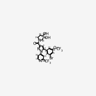 O=C(c1cc(-c2cc(Br)cc(OC(F)(F)F)c2)n(-c2ccnc(C(F)(F)F)c2)n1)N1CCS(O)(O)C1